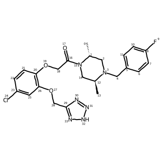 C[C@@H]1CN(Cc2ccc(F)cc2)[C@@H](C)CN1C(=O)COc1ccc(Cl)cc1OCc1nn[nH]n1